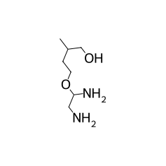 CC(CO)CCOC(N)CN